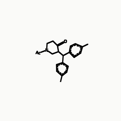 CC(=O)N1CCC(=O)C(C(c2ccc(C)cc2)c2ccc(C)cc2)C1